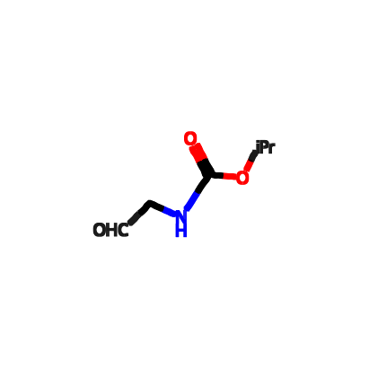 CC(C)OC(=O)NCC=O